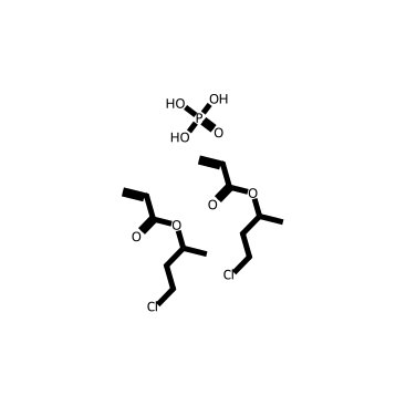 C=CC(=O)OC(C)CCCl.C=CC(=O)OC(C)CCCl.O=P(O)(O)O